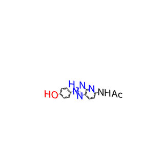 CC(=O)Nc1ccc(/N=N/c2ccc(O)cc2)c(N)n1